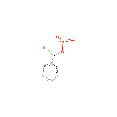 O=[SH](=O)OC(Br)c1ccccc1